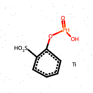 O=[PH](O)Oc1ccccc1S(=O)(=O)O.[Ti]